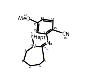 CCCCCCCN1CCCCC/C1=N/c1cc(OC)ccc1C#N